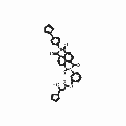 O=C(CC(O)C1C=CC=C1)Oc1cccc(N2C(=O)c3ccc4c5c(ccc(c35)C2=O)C(=O)N(c2ccc(C3=CCC=C3)cc2)C4=O)c1